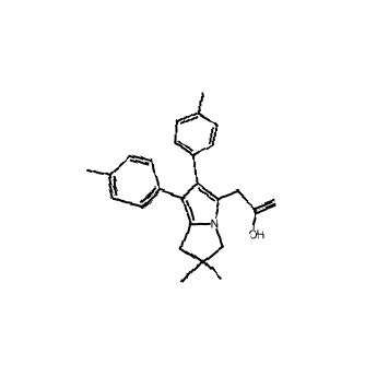 C=C(O)Cc1c(-c2ccc(C)cc2)c(-c2ccc(C)cc2)c2n1CC(C)(C)C2